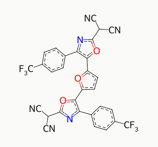 N#CC(C#N)c1nc(-c2ccc(C(F)(F)F)cc2)c(-c2ccc(-c3oc(C(C#N)C#N)nc3-c3ccc(C(F)(F)F)cc3)o2)o1